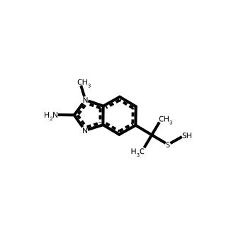 Cn1c(N)nc2cc(C(C)(C)SS)ccc21